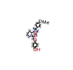 COc1ccc(-c2noc(C3CCCCN3C(=O)COc3ccc(O)cc3)n2)cc1